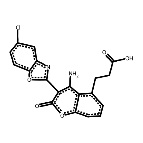 Nc1c(-c2nc3cc(Cl)ccc3o2)c(=O)oc2cccc(CCC(=O)O)c12